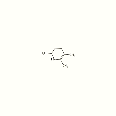 CC1=C(C)NC(C)CC1